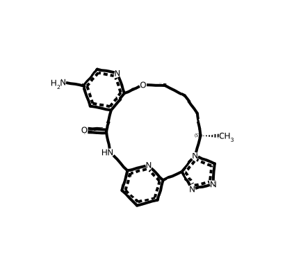 C[C@H]1CCCOc2ncc(N)cc2C(=O)Nc2cccc(n2)-c2nncn21